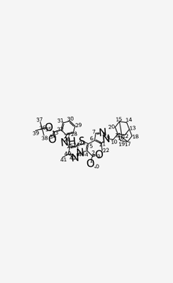 COC(=O)c1c(-c2cnn(CC34CC5CC(CC(C5)C3)C4)c2C)sc2c(Nc3ccccc3C(=O)OC(C)(C)C)c(C)nn12